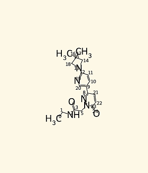 CCNC(=O)Cn1nc(-c2ccc(N3CC(C)(C)C3)nc2)ccc1=O